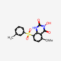 COc1ccc(S(=O)(=O)c2cccc(C)c2)c2[nH]c(=O)n(O)c(=O)c12